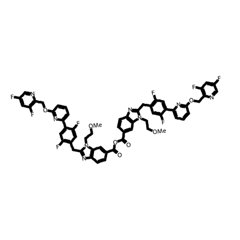 COCCn1c(Cc2cc(F)c(-c3cccc(OCc4ncc(F)cc4F)n3)cc2F)nc2ccc(C(=O)OC(=O)c3ccc4nc(Cc5cc(F)c(-c6cccc(OCc7ncc(F)cc7F)n6)cc5F)n(CCOC)c4c3)cc21